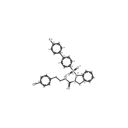 O=C(NCCc1ccc(Cl)cc1)[C@@H]1Cc2ccccc2N1S(=O)(=O)c1ccc(-c2ccc(F)cc2)cc1